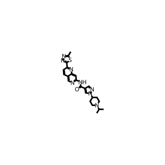 Cc1nnc(-c2ccc3cnc(NC(=O)c4cnn(C5CCN(C(C)C)CC5)c4)cc3n2)s1